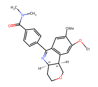 CCOc1cc2c(cc1OC)C(c1ccc(C(=O)N(C)C)cc1)=N[C@@H]1CCOC[C@H]21